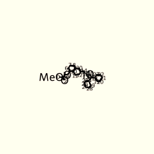 COC(=O)COc1cccc2c1CCC(C=NOC(c1ccccc1)c1ccccc1)=C2